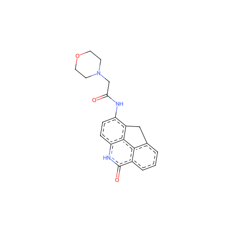 O=C(CN1CCOCC1)Nc1ccc2[nH]c(=O)c3cccc4c3c2c1C4